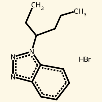 Br.CCCC(CC)n1nnc2ccccc21